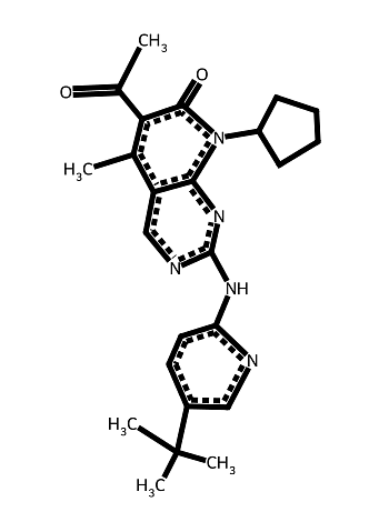 CC(=O)c1c(C)c2cnc(Nc3ccc(C(C)(C)C)cn3)nc2n(C2CCCC2)c1=O